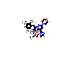 Cc1c(Cc2c(C=O)nc3c(-c4nccn4S(=O)(=O)N(C)C)cc(N4CCOCC4)nn23)cccc1C(F)(F)F